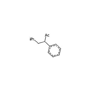 CC(=O)C(CC(C)C)c1ccccc1